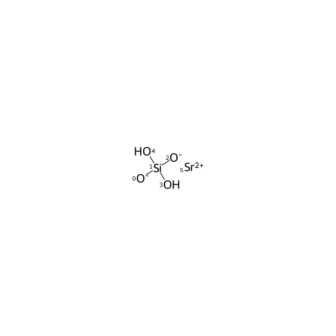 [O-][Si]([O-])(O)O.[Sr+2]